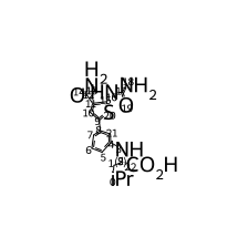 CC(C)C[C@H](Nc1cccc(-c2cc(C(N)=O)c(NC(N)=O)s2)c1)C(=O)O